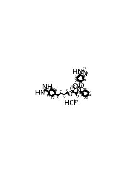 CC(C(=O)OCCCCc1ccc(C(=N)N)cc1)N(C(=O)Oc1ccc2[nH]cnc2c1)c1ccccc1.Cl